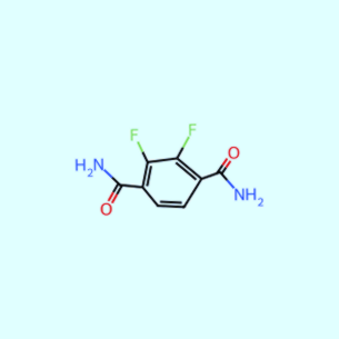 NC(=O)c1ccc(C(N)=O)c(F)c1F